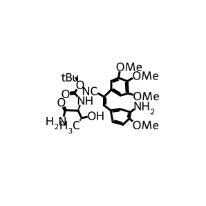 COc1ccc(/C=C(/C#N)c2cc(OC)c(OC)c(OC)c2)cc1N.C[C@@H](O)[C@H](NC(=O)OC(C)(C)C)C(N)=O